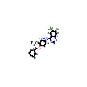 Fc1cccc(COc2ccc(Nc3ncnc4cc(F)c(Cl)cc34)cc2C(F)(F)F)c1